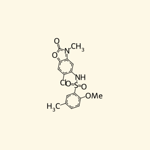 COc1ccc(C)cc1S(=O)(=O)Nc1cc2c(cc1Cl)oc(=O)n2C